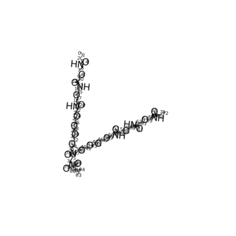 CCCC(=O)NCCOCCC(=O)NCCOCCC(=O)NCCOCCOCCOCCOCCN(CCOCCOCCOCCOCCNC(=O)CCOCCNC(=O)CCOCCNC(=O)CCC)C(=O)CCN1C(=O)CC(C(C)C)C1=O